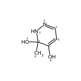 CC1(O)NN=CC=C1O